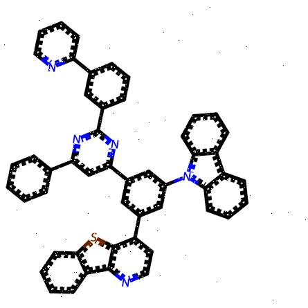 c1ccc(-c2cc(-c3cc(-c4ccnc5c4sc4ccccc45)cc(-n4c5ccccc5c5ccccc54)c3)nc(-c3cccc(-c4ccccn4)c3)n2)cc1